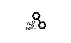 O=P([O-])([O-])[O-].[Fe+3].c1ccc(-c2ccccc2)cc1